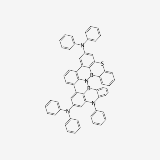 c1ccc(N(c2ccccc2)c2cc3c4c(c2)-c2cccc5c2N(B4c2ccccc2S3)B2c3ccccc3N(c3ccccc3)c3cc(N(c4ccccc4)c4ccccc4)cc-5c32)cc1